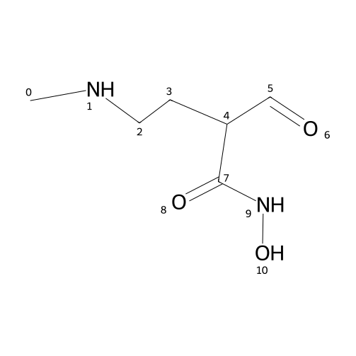 CNCCC(C=O)C(=O)NO